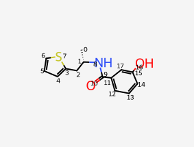 C[C@@H](Cc1cccs1)NC(=O)c1cccc(O)c1